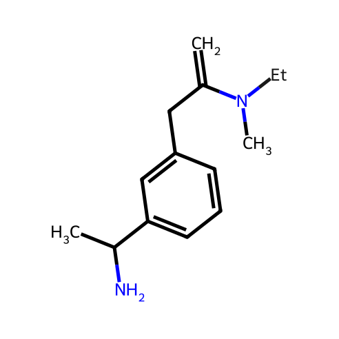 C=C(Cc1cccc(C(C)N)c1)N(C)CC